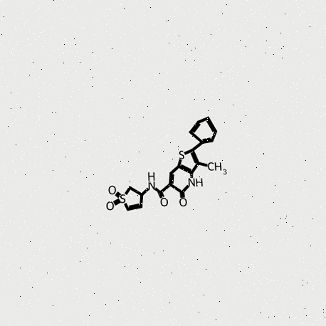 Cc1c(-c2ccccc2)sc2cc(C(=O)NC3C=CS(=O)(=O)C3)c(=O)[nH]c12